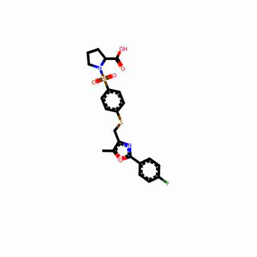 Cc1oc(-c2ccc(F)cc2)nc1CSc1ccc(S(=O)(=O)N2CCCC2C(=O)O)cc1